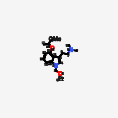 CCOCn1cc(CCN(C)C)c2c(OC(C)OC)cccc21